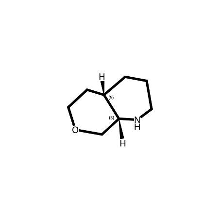 C1CN[C@@H]2COCC[C@@H]2C1